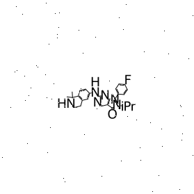 CC(C)n1c(=O)c2cnc(Nc3ccc4c(c3)CCNC4(C)C)nc2n1-c1ccc(F)cc1